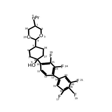 CCCC1COC(C2CCC(O)(c3ccc(-c4cc(F)c(F)c(F)c4)c(F)c3F)CC2)OC1